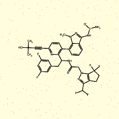 Cn1nc(N[S+](N)[O-])c2cccc(-c3ccc(C#CC(C)(C)O)nc3C(Cc3cc(F)cc(F)c3)NC(=O)Cn3nc(C(F)F)c4c3C(F)(F)CC4)c21